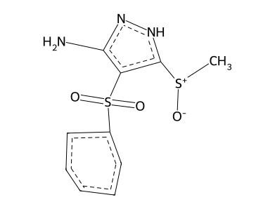 C[S+]([O-])c1[nH]nc(N)c1S(=O)(=O)c1ccccc1